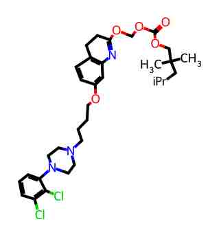 CC(C)CC(C)(C)COC(=O)OCOC1=Nc2cc(OCCCCN3CCN(c4cccc(Cl)c4Cl)CC3)ccc2CC1